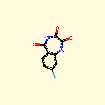 O=c1[nH]c(=O)c2ccc(F)cc2[nH]c1=O